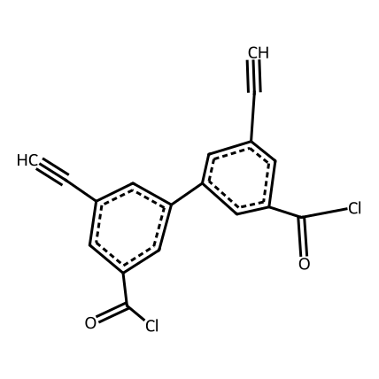 C#Cc1cc(C(=O)Cl)cc(-c2cc(C#C)cc(C(=O)Cl)c2)c1